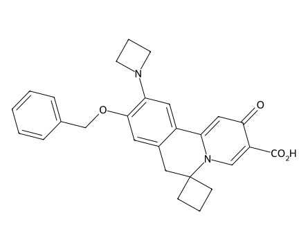 O=C(O)c1cn2c(cc1=O)-c1cc(N3CCC3)c(OCc3ccccc3)cc1CC21CCC1